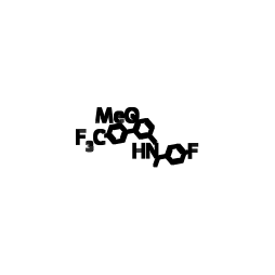 COc1ccc(CNC(C)c2ccc(F)cc2)cc1-c1ccc(C(F)(F)F)cc1